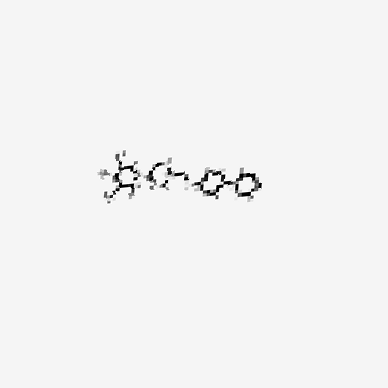 Cc1c(F)c(F)cc(C2=CCN(CCc3ccc(-c4ccncc4)cc3)CC2)c1F